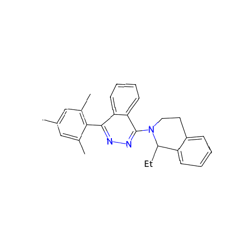 CCC1c2ccccc2CCN1c1nnc(-c2c(C)cc(C)cc2C)c2ccccc12